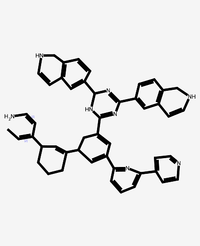 C/C=C(\C=C/N)C1C=C(C2C=C(c3cccc(-c4ccncc4)n3)C=C(C3=NC(c4ccc5c(c4)C=CNC5)=NC(c4ccc5c(c4)C=CNC5)N3)C2)CCC1